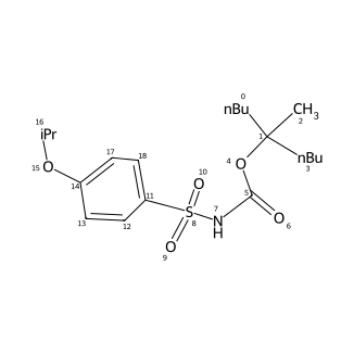 CCCCC(C)(CCCC)OC(=O)NS(=O)(=O)c1ccc(OC(C)C)cc1